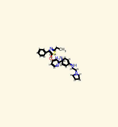 CCc1nc(-c2ccccc2)c(Oc2ccnc(C3(N)C=CC(NCCN4CCCC4)=CC3)c2)s1